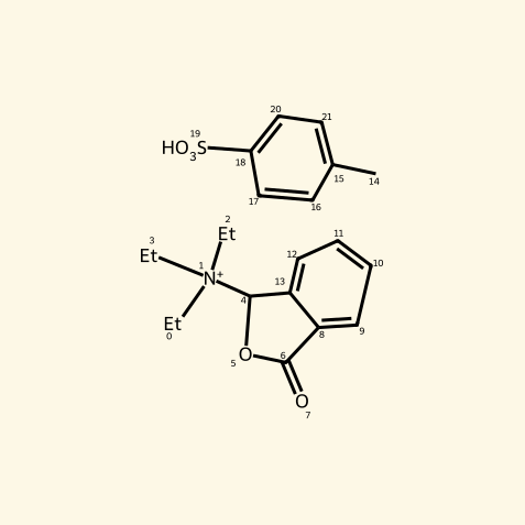 CC[N+](CC)(CC)C1OC(=O)c2ccccc21.Cc1ccc(S(=O)(=O)O)cc1